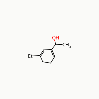 CCC1=CC(C(C)O)=CCC1